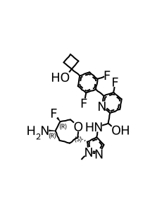 Cn1ncc(NC(O)c2ccc(F)c(-c3c(F)cc(C4(O)CCC4)cc3F)n2)c1[C@@H]1CC[C@@H](N)[C@@H](F)CO1